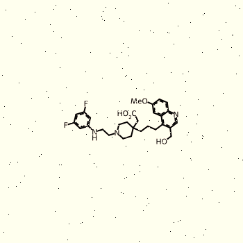 COc1ccc2ncc(CO)c(CCCC3(CC(=O)O)CCN(CCNc4cc(F)cc(F)c4)CC3)c2c1